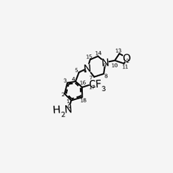 Nc1ccc(CN2CCN(C3COC3)CC2)c(C(F)(F)F)c1